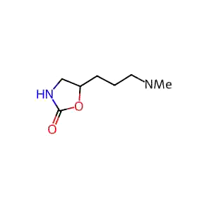 CNCCCC1CNC(=O)O1